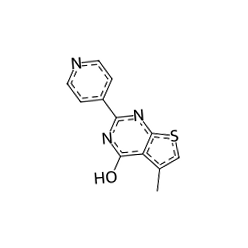 Cc1csc2nc(-c3ccncc3)nc(O)c12